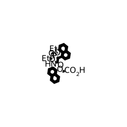 CCOP(=O)(OCC)C(C(=O)Nc1ccc2ccccc2c1OCC(=O)O)c1cccc2ccccc12